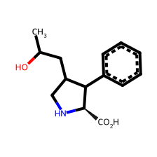 CC(O)CC1CN[C@H](C(=O)O)C1c1ccccc1